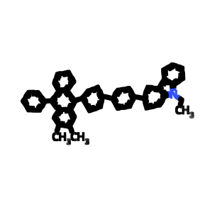 CCn1c2ccccc2c2cc(-c3ccc(-c4ccc(-c5c6ccccc6c(-c6ccccc6)c6cc(C)c(C)cc56)cc4)cc3)ccc21